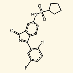 O=C1N=C(c2cc(F)ccc2Cl)c2ccc(NS(=O)(=O)C3CCCC3)cc21